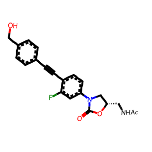 CC(=O)NC[C@H]1CN(c2ccc(C#Cc3ccc(CO)cc3)c(F)c2)C(=O)O1